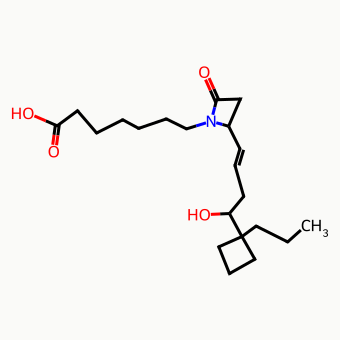 CCCC1(C(O)C/C=C/C2CC(=O)N2CCCCCCC(=O)O)CCC1